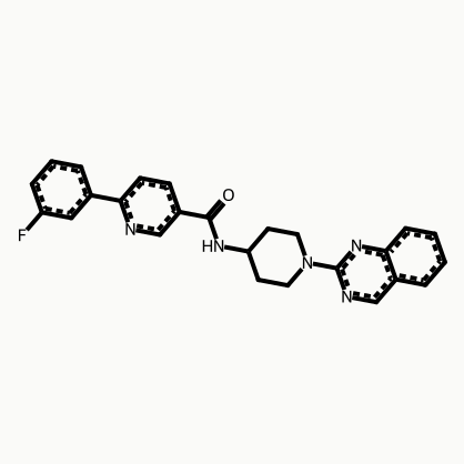 O=C(NC1CCN(c2ncc3ccccc3n2)CC1)c1ccc(-c2cccc(F)c2)nc1